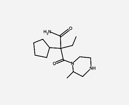 CCC(C(N)=O)(C(=O)N1CCNCC1C)C1CCCC1